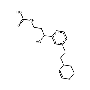 O=C(O)NCCC(O)c1cccc(SCC2C=CCCC2)c1